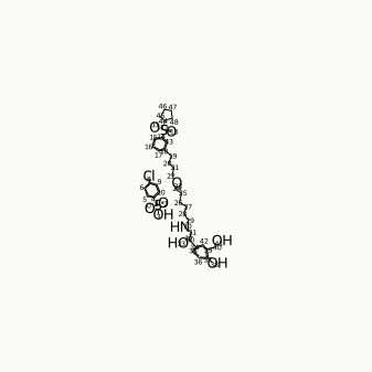 O=S(=O)(O)c1ccc(Cl)cc1.O=S(=O)(c1cccc(CCCCOCCCCCCNC[C@H](O)c2ccc(O)c(CO)c2)c1)C1CCCC1